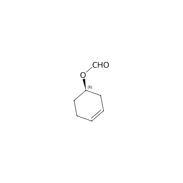 O=CO[C@H]1CC=CCC1